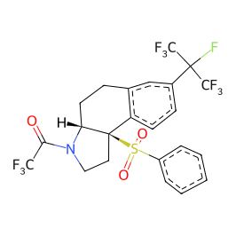 O=C(N1CC[C@@]2(S(=O)(=O)c3ccccc3)c3ccc(C(F)(C(F)(F)F)C(F)(F)F)cc3CC[C@@H]12)C(F)(F)F